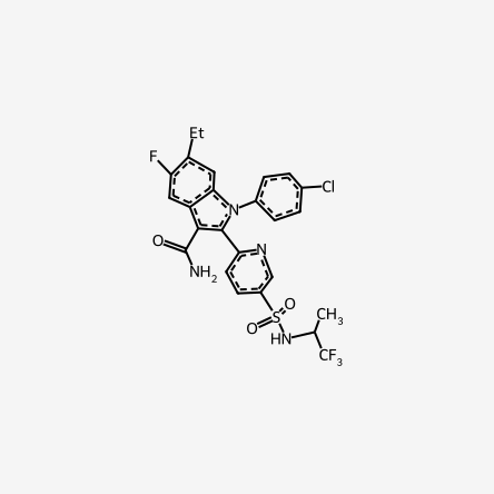 CCc1cc2c(cc1F)c(C(N)=O)c(-c1ccc(S(=O)(=O)NC(C)C(F)(F)F)cn1)n2-c1ccc(Cl)cc1